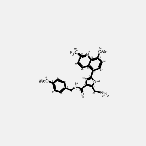 COc1ccc(CNC(=O)c2nc(-c3ccc(OC)c4nc(C(F)(F)F)ccc34)oc2CN)cc1